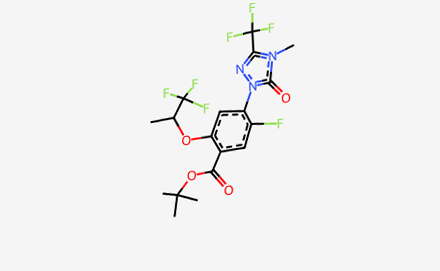 CC(Oc1cc(-n2nc(C(F)(F)F)n(C)c2=O)c(F)cc1C(=O)OC(C)(C)C)C(F)(F)F